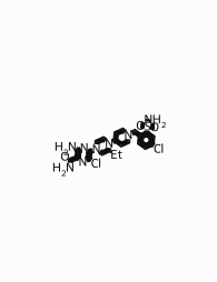 CC[C@H]1CN(c2nc(N)c(C(N)=O)nc2Cl)CCN1C1CCN(Cc2ccc(Cl)cc2S(N)(=O)=O)CC1